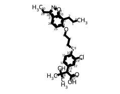 CCCc1c(OCCCSc2ccc(C(C(=O)O)C(C)(C)C)cc2Cl)ccc2c(CC)noc12